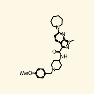 COc1ccc(CN2CCC(NC(=O)c3nn(C)c4nc(N5CCCCCC5)ccc34)CC2)cc1